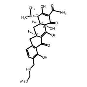 COCNCc1ccc2c(c1O)C(=O)C1=C(O)[C@]3(O)C(=O)C(C(N)=O)=C(O)[C@@H](N(C)C)[C@@H]3C[C@@H]1C2